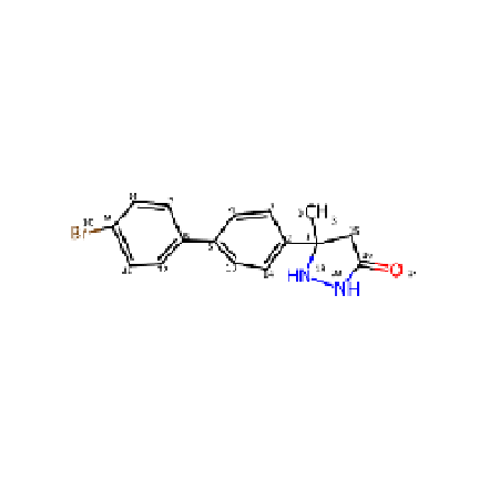 CC1(c2ccc(-c3ccc(Br)cc3)cc2)CC(=O)NN1